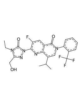 CCn1c(CO)nn(-c2nc3c(C(C)C)cn(-c4ccccc4C(F)(F)F)c(=O)c3cc2F)c1=O